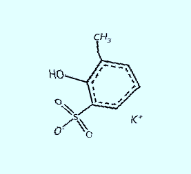 Cc1cccc(S(=O)(=O)[O-])c1O.[K+]